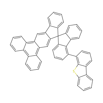 c1ccc2c(c1)-c1cc3c4ccccc4c4ccccc4c3cc1C21c2ccccc2-c2c(-c3cccc4c3sc3ccccc34)cccc21